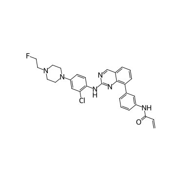 C=CC(=O)Nc1cccc(-c2cccc3cnc(Nc4ccc(N5CCN(CCF)CC5)cc4Cl)nc23)c1